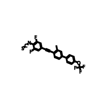 Cc1cc(-c2ccc(OC(F)(F)F)cc2)ccc1C#Cc1cc(F)c(N=C=S)c(F)c1